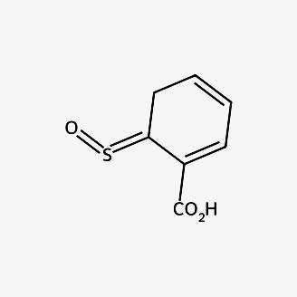 O=S=C1CC=CC=C1C(=O)O